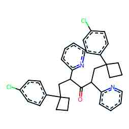 O=C(C(CC1(c2ccc(Cl)cc2)CCC1)c1ccccn1)C(CC1(c2ccc(Cl)cc2)CCC1)c1ccccn1